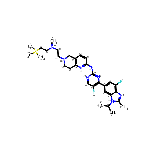 Cc1nc2c(F)cc(-c3nc(Nc4ccc5c(n4)CCN(CCN(C)CCS(C)(C)C)C5)ncc3F)cc2n1C(C)C